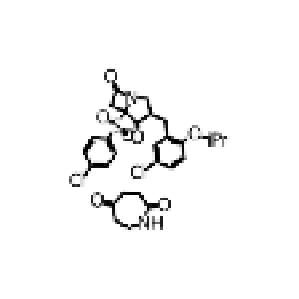 CC(C)Oc1ccc(Cl)cc1CC1CN2C(=O)CC2(S(=O)(=O)c2ccc(Cl)cc2)C1=O.O=C1CCNC(=O)CC1